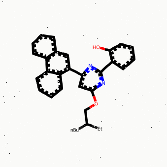 CCCCC(CC)COc1cc(-c2cc3ccccc3c3ccccc23)nc(-c2ccccc2O)n1